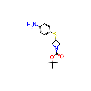 CC(C)(C)OC(=O)N1CC(Sc2ccc(N)cc2)C1